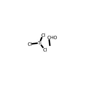 CC=O.[Cl][Ti]([Cl])[Cl]